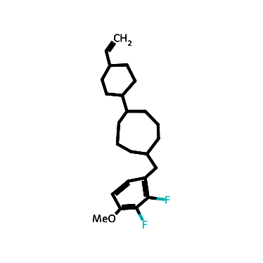 C=CC1CCC(C2CCCC(Cc3ccc(OC)c(F)c3F)CCC2)CC1